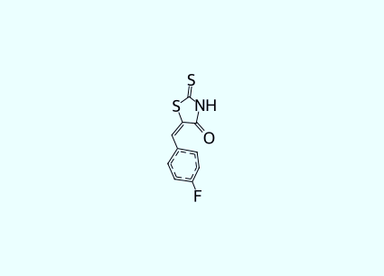 O=C1NC(=S)S/C1=C/c1ccc(F)cc1